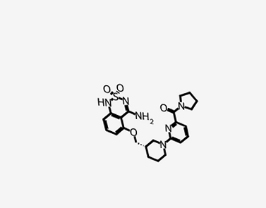 NC1=NS(=O)(=O)Nc2cccc(OC[C@H]3CCCN(c4cccc(C(=O)N5CCCC5)n4)C3)c21